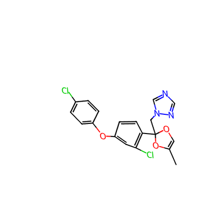 CC1=COC(Cn2cncn2)(c2ccc(Oc3ccc(Cl)cc3)cc2Cl)O1